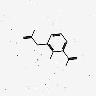 C=C(C)Cc1c[c]cc(C(=O)OC)c1O